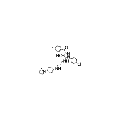 Cc1ccc(C(=O)c2nn(-c3ccc(Cl)cc3)c(NCCCNc3ccc(-n4cccn4)cc3)c2C#N)cc1